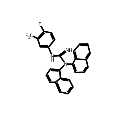 N=C(Nc1ccc(F)c(C(F)(F)F)c1)N(c1cccc2ccccc12)c1cccc2ccccc12